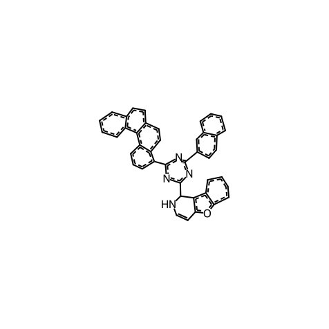 C1=Cc2oc3ccccc3c2C(c2nc(-c3ccc4ccccc4c3)nc(-c3cccc4c3ccc3ccc5ccccc5c34)n2)N1